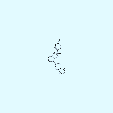 C[C@]1(c2ccc(Cl)cn2)Oc2cccc(C3=CCC4(CC3)OCCO4)c2O1